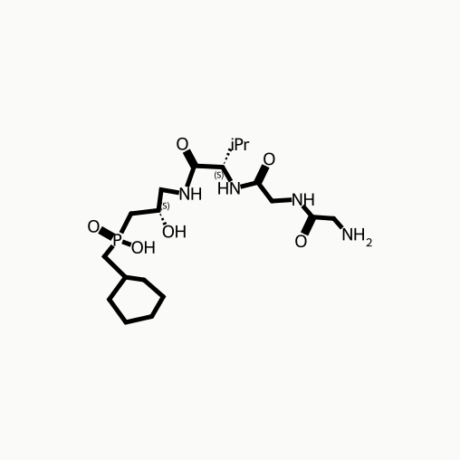 CC(C)[C@H](NC(=O)CNC(=O)CN)C(=O)NC[C@H](O)CP(=O)(O)CC1CCCCC1